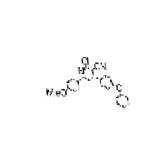 COc1ccc(-c2cc(-c3ccc(Oc4ccccc4)cc3)c(C#N)c(Cl)n2)cc1